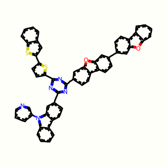 c1cncc(-n2c3ccccc3c3ccc(-c4nc(-c5ccc6c(c5)oc5cc(-c7ccc8c(c7)oc7ccccc78)ccc56)nc(-c5ccc(-c6cc7ccccc7s6)s5)n4)cc32)c1